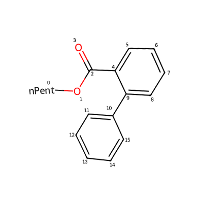 CCCCCOC(=O)c1ccccc1-c1ccccc1